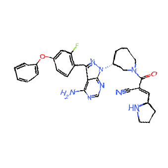 N#C/C(=C\C1CCCN1)C(=O)N1CCC[C@@H](n2nc(-c3ccc(Oc4ccccc4)cc3F)c3c(N)ncnc32)C1